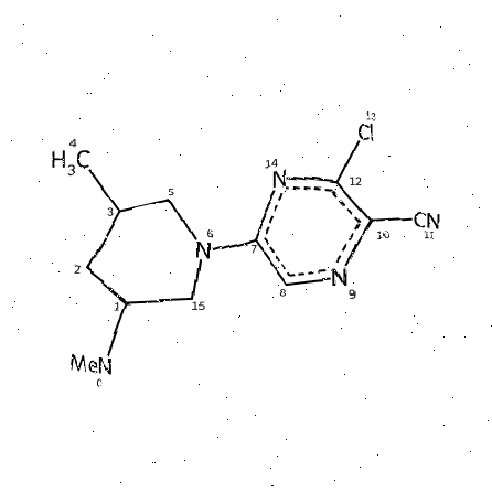 CNC1CC(C)CN(c2cnc(C#N)c(Cl)n2)C1